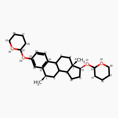 C[C@@H]1CC2C(CC[C@@]3(C)C2CC[C@@H]3OC2CCCCO2)c2ccc(OC3CCCCO3)cc21